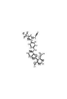 C#CCn1cc(C(F)(F)F)nc1-c1ccc(Cc2nccc3nc(-c4c(OC)ncnc4C4CC4)oc23)cc1